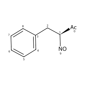 CC(=O)[C@H](Cc1ccccc1)N=O